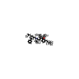 C=C(Br)C[C@@H](CCC/C=C/C(O[Si](C)(C)C(C)(C)C)[C@@H]1OC2CC[C@H](CCO[Si](CC)(CC)CC)O[C@@H]2C(O[Si](C)(C)C(C)(C)C)C1O[Si](C)(C)C(C)(C)C)OC(=O)c1ccccc1